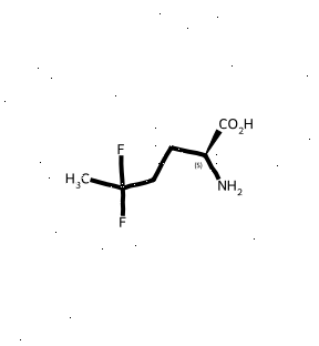 CC(F)(F)CC[C@H](N)C(=O)O